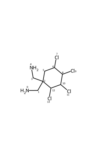 NCC1(CN)CC(Cl)C(Cl)C(Cl)C1Cl